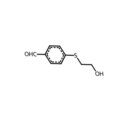 O=Cc1ccc(SCCO)cc1